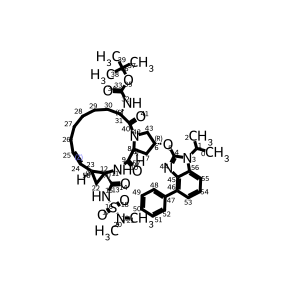 CC(C)n1c(O[C@@H]2C[C@H]3C(=O)N[C@]4(C(=O)NS(=O)(=O)N(C)C)C[C@H]4/C=C\CCCCC[C@H](NC(=O)OC(C)(C)C)C(=O)N3C2)nc2c(-c3ccccc3)cccc21